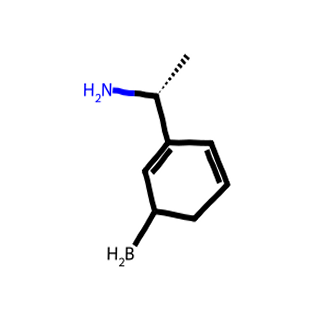 BC1C=C([C@@H](C)N)C=CC1